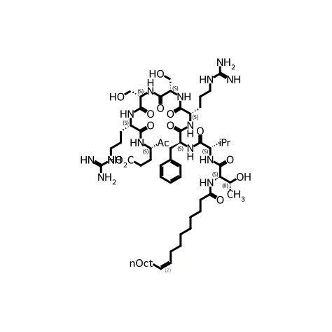 CCCCCCCC/C=C\CCCCCCCC(=O)N[C@H](C(=O)N[C@H](C(=O)N[C@@H](Cc1ccccc1)C(=O)N[C@@H](CCCNC(=N)N)C(=O)N[C@@H](CO)C(=O)N[C@@H](CO)C(=O)N[C@@H](CCCNC(=N)N)C(=O)N[C@@H](CCC(=O)O)C(C)=O)C(C)C)[C@@H](C)O